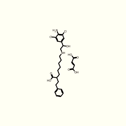 Nc1c(Cl)cc(C(O)CNCCCCCCC(CCc2ccccc2)C(=O)O)cc1Cl.O=C(O)C=CC(=O)O